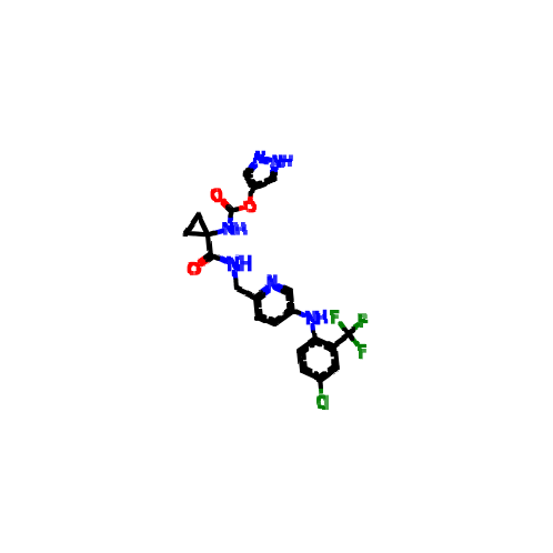 O=C(NC1(C(=O)NCc2ccc(Nc3ccc(Cl)cc3C(F)(F)F)cn2)CC1)Oc1cn[nH]c1